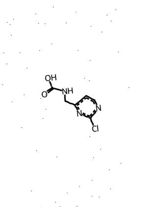 O=C(O)NCc1ccnc(Cl)n1